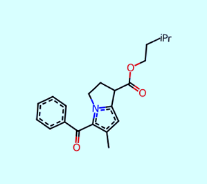 Cc1cc2n(c1C(=O)c1ccccc1)CCC2C(=O)OCCC(C)C